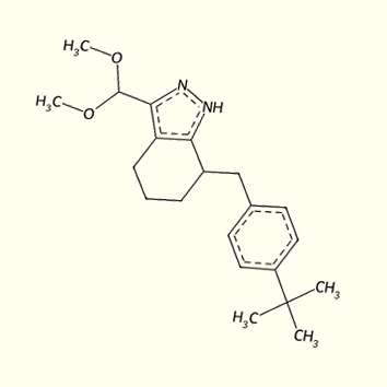 COC(OC)c1n[nH]c2c1CCCC2Cc1ccc(C(C)(C)C)cc1